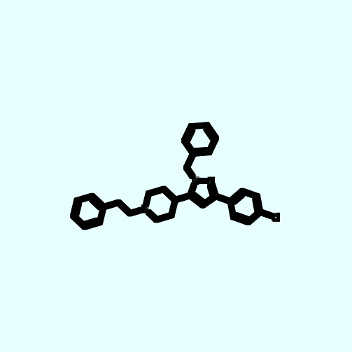 Clc1ccc(-c2cc(C3CCN(CCc4ccccc4)CC3)n(Cc3ccccc3)n2)cc1